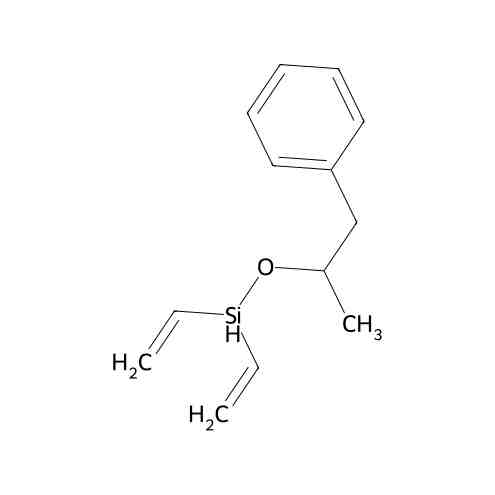 C=C[SiH](C=C)OC(C)Cc1ccccc1